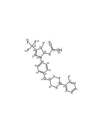 Cc1ccccc1N1CCC(Oc2ccc(N3N=C(C(F)(F)F)C(C)C3CC(=O)O)cc2)CC1